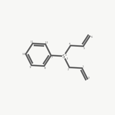 C=CC[S+](CC=C)c1ccccc1